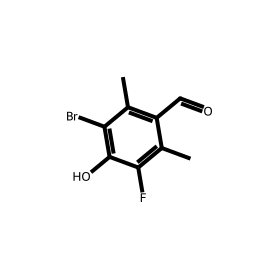 Cc1c(F)c(O)c(Br)c(C)c1C=O